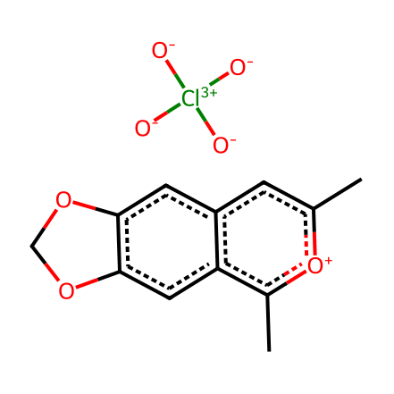 Cc1cc2cc3c(cc2c(C)[o+]1)OCO3.[O-][Cl+3]([O-])([O-])[O-]